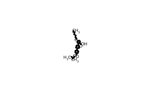 CCCCCCCOc1ccc(C(=O)O)c(-c2ccc(-c3ccc(C(=O)OCC(C)CC)cc3)cc2)c1